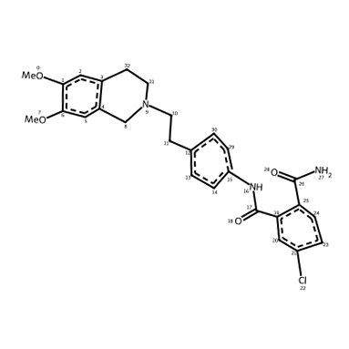 COc1cc2c(cc1OC)CN(CCc1ccc(NC(=O)c3cc(Cl)ccc3C(N)=O)cc1)CC2